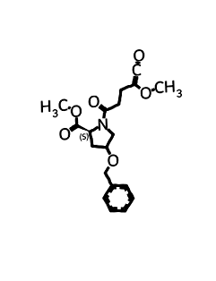 COC(=O)[C@@H]1CC(OCc2ccccc2)CN1C(=O)CCC(=C=O)OC